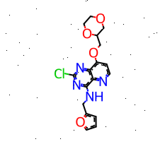 Clc1nc(NCc2ccco2)c2nccc(OCC3COCCO3)c2n1